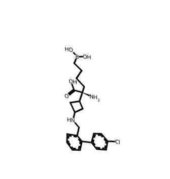 N[C@](CCCCB(O)O)(C(=O)O)C1CC(NCc2ccccc2-c2ccc(Cl)cc2)C1